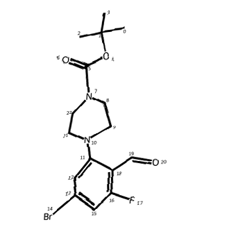 CC(C)(C)OC(=O)N1CCN(c2cc(Br)cc(F)c2C=O)CC1